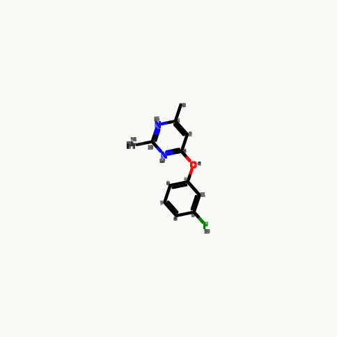 Cc1cc(Oc2cccc(F)c2)nc(C(C)C)n1